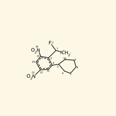 [CH2]C(F)c1c(C2CCCCC2)cc([N+](=O)[O-])cc1[N+](=O)[O-]